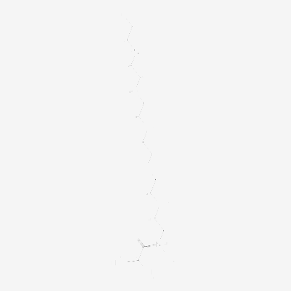 CCCNCCOCCOCCOCCOCCN(C)C(=O)C(C)C